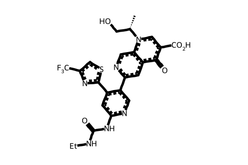 CCNC(=O)Nc1cc(-c2nc(C(F)(F)F)cs2)c(-c2cc3c(=O)c(C(=O)O)cn([C@@H](C)CO)c3cn2)cn1